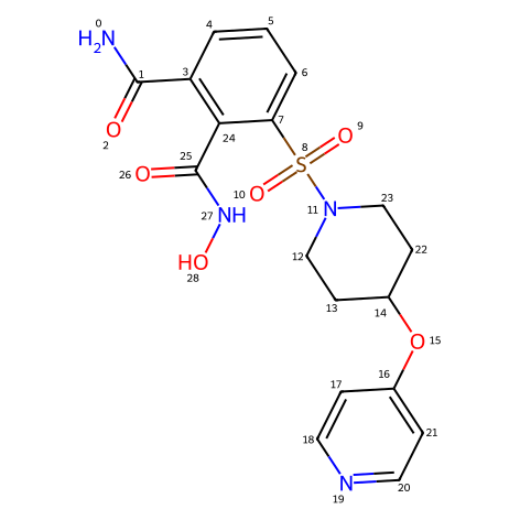 NC(=O)c1cccc(S(=O)(=O)N2CCC(Oc3ccncc3)CC2)c1C(=O)NO